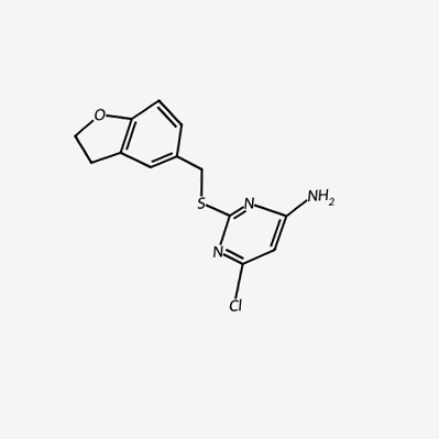 Nc1cc(Cl)nc(SCc2ccc3c(c2)CCO3)n1